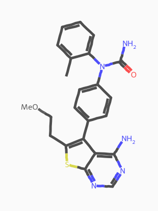 COCCc1sc2ncnc(N)c2c1-c1ccc(N(C(N)=O)c2ccccc2C)cc1